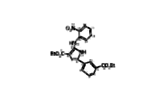 CCOC(=O)c1cccc(-c2cc(C(=O)OCC)c(Nc3ccccc3[N+](=O)[O-])[nH]2)c1